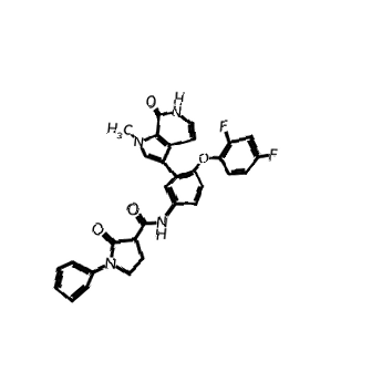 Cn1cc(-c2cc(NC(=O)C3CCN(c4ccccc4)C3=O)ccc2Oc2ccc(F)cc2F)c2cc[nH]c(=O)c21